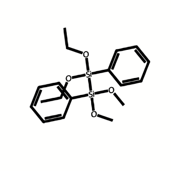 CCO[Si](OCC)(c1ccccc1)[Si](OC)(OC)c1ccccc1